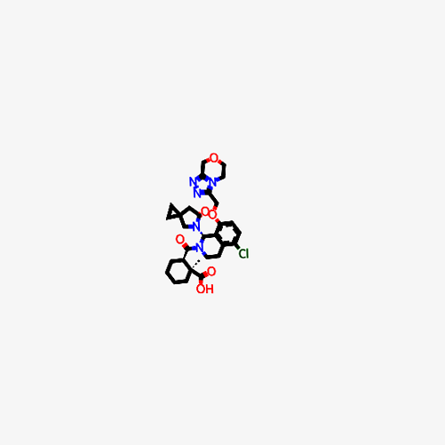 C[C@]1(C(=O)O)CCCC[C@H]1C(=O)N1CCc2c(Cl)ccc(OCc3nnc4n3CCOC4)c2[C@H]1N1CC2(CC2)CC1=O